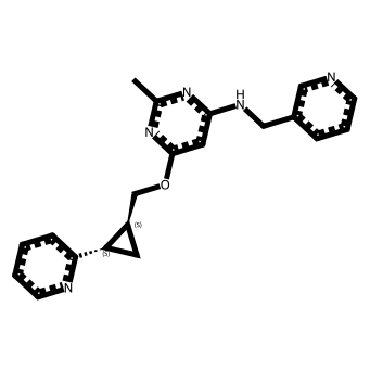 Cc1nc(NCc2cccnc2)cc(OC[C@H]2C[C@@H]2c2ccccn2)n1